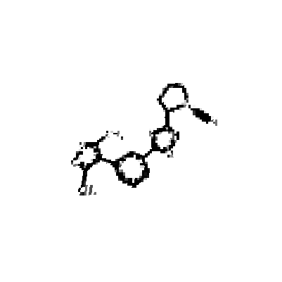 Cc1noc(C)c1-c1cccc(-c2nc(C3CCCN3C#N)no2)c1